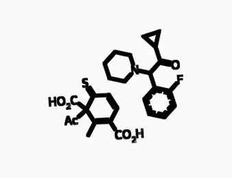 CC(=O)C1(C(=O)O)C(=S)C=CC(C(=O)O)=C1C.O=C(C1CC1)C(c1ccccc1F)N1CCCCC1